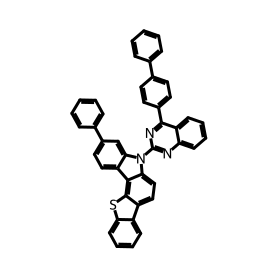 c1ccc(-c2ccc(-c3nc(-n4c5cc(-c6ccccc6)ccc5c5c6sc7ccccc7c6ccc54)nc4ccccc34)cc2)cc1